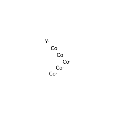 [Co].[Co].[Co].[Co].[Co].[Y]